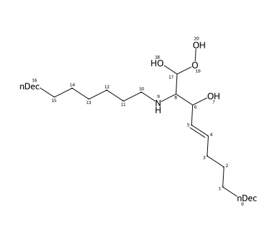 CCCCCCCCCCCCCC=CC(O)C(NCCCCCCCCCCCCCCCC)C(O)OO